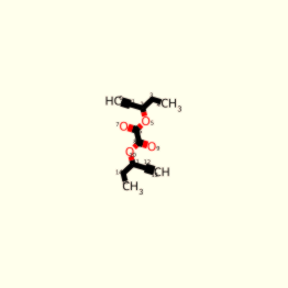 C#CC(CC)OC(=O)C(=O)OC(C#C)CC